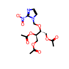 CC(=O)OC[C@@H](OCn1ccnc1[N+](=O)[O-])[C@@H](COC(C)=O)OC(C)=O